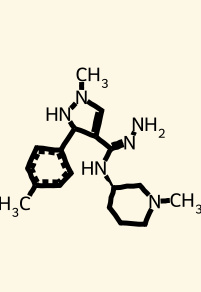 Cc1ccc(C2NN(C)C=C2/C(=N\N)N[C@@H]2CCCN(C)C2)cc1